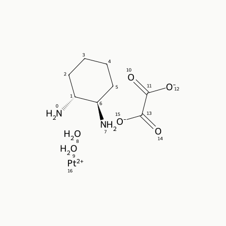 N[C@@H]1CCCC[C@H]1N.O.O.O=C([O-])C(=O)[O-].[Pt+2]